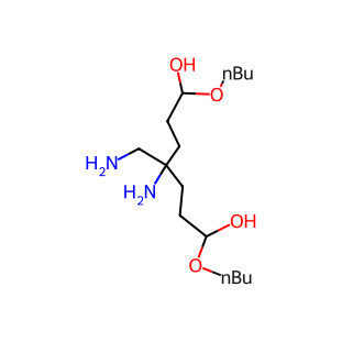 CCCCOC(O)CCC(N)(CN)CCC(O)OCCCC